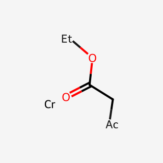 CCOC(=O)CC(C)=O.[Cr]